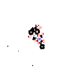 COc1ccc2c3c1O[C@H]1C(OC(=O)[C@H](C)NC(=O)[C@@H](OC(=O)OC(C)(C)C)c4ccccc4)=CC[C@@]4(O)[C@H](CCC[C@]314)C2